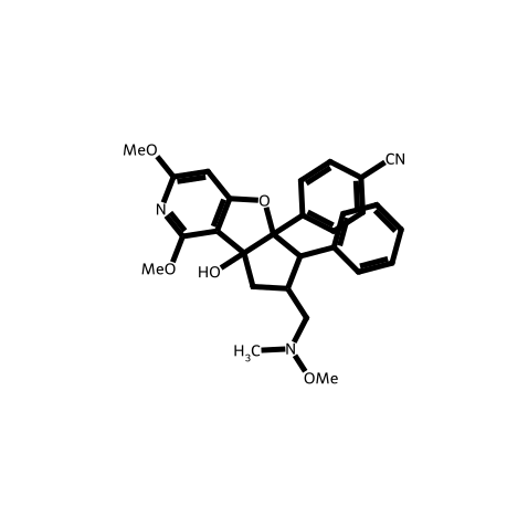 COc1cc2c(c(OC)n1)C1(O)CC(CN(C)OC)C(c3ccccc3)C1(c1ccc(C#N)cc1)O2